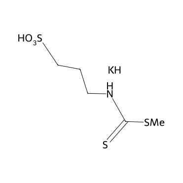 CSC(=S)NCCCS(=O)(=O)O.[KH]